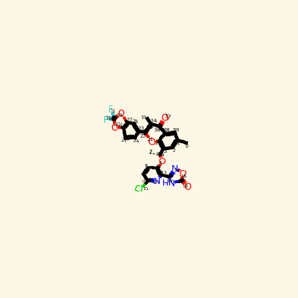 Cc1cc([C@@H](C)Oc2ccc(Cl)nc2-c2noc(=O)[nH]2)c2oc(-c3ccc4c(c3)OC(F)(F)O4)c(C)c(=O)c2c1